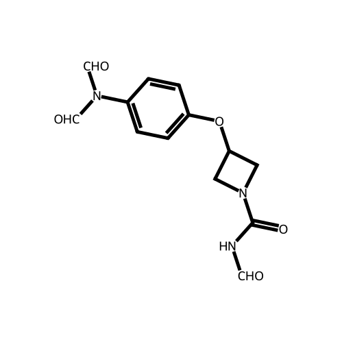 O=CNC(=O)N1CC(Oc2ccc(N(C=O)C=O)cc2)C1